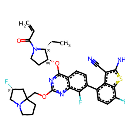 C=CC(=O)N1CC[C@@H](Oc2nc(OCC34CCCN3C[C@H](F)C4)nc3c(F)c(-c4ccc(F)c5sc(N)c(C#N)c45)ccc23)[C@H]1CC